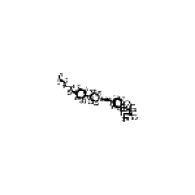 CCCCCCc1ccc(C2CCC(C#Cc3ccc(OC(F)(F)C(F)F)cc3)CC2)cc1